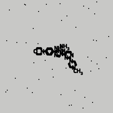 CN1CCN(c2nccc(N3C=NC(N)(c4ccc(N5CCOCC5)cc4)N3)n2)CC1.N